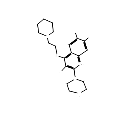 Nc1c(N2CCOCC2)nc2cc(Cl)c(Cl)cc2c1NCCN1CCCCC1